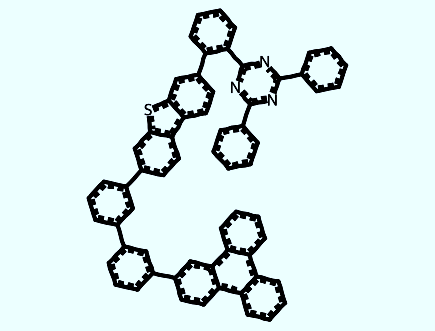 c1ccc(-c2nc(-c3ccccc3)nc(-c3ccccc3-c3ccc4c(c3)sc3cc(-c5cccc(-c6cccc(-c7ccc8c9ccccc9c9ccccc9c8c7)c6)c5)ccc34)n2)cc1